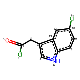 O=C(Cl)Cc1c[nH]c2ccc(Cl)cc12